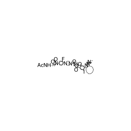 CC(=O)NC[C@H]1CN(c2ccc(N3CCN(C(=O)COC(=O)c4cc(I)c(C5(N=[N+]=[N-])CCCCCCCCC5)cc4O)CC3)c(F)c2)C(=O)O1